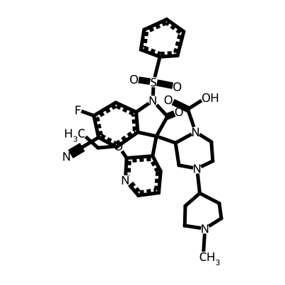 CCOc1ncccc1C1(C2CN(C3CCN(C)CC3)CCN2C(=O)O)C(=O)N(S(=O)(=O)c2ccccc2)c2cc(F)c(C#N)cc21